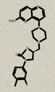 COc1ccc2nccc(N3CCN(C[C@H]4CN(c5ccc(C)c(F)c5)C(=O)O4)CC3)c2n1